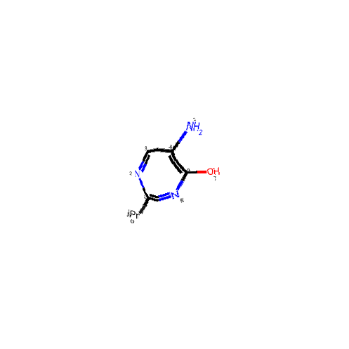 CC(C)c1ncc(N)c(O)n1